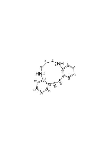 c1ccc2c(c1)NCCCNc1ccccc1SS2